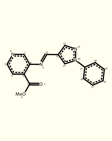 COC(=O)c1ccncc1/N=C/c1cnn(-c2ccccc2)c1